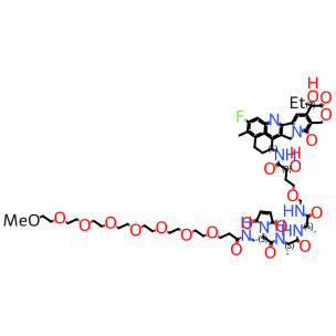 CC[C@@]1(O)C(=O)OCc2c1cc1n(c2=O)Cc2c-1nc1cc(F)c(C)c3c1c2[C@@H](NC(=O)[C@H](O)CCOCNC(=O)[C@H](C)NC(=O)[C@H](C)NC(=O)[C@H](CNC(=O)CCOCCOCCOCCOCCOCCOCCOCCOC)N1C(=O)C=CC1=O)CC3